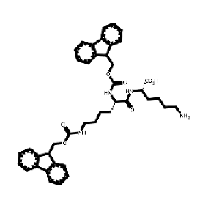 NCCCC[C@H](NC(=O)[C@H](CCCCNC(=O)OCC1c2ccccc2-c2ccccc21)NC(=O)OCC1c2ccccc2-c2ccccc21)C(=O)O